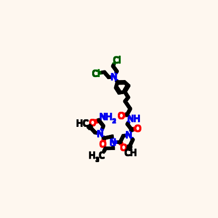 C#CCN(CC(N)=O)C(=O)CN(CCC)C(=O)CN(CC#C)C(=O)CNC(=O)CCCc1ccc(N(CCCl)CCCl)cc1